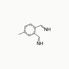 Cc1ccc(C=N)c(C=N)c1